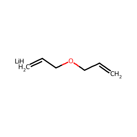 C=CCOCC=C.[LiH]